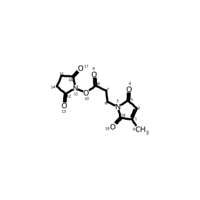 CC1=CC(=O)N(CCC(=O)ON2C(=O)CCC2=O)C1=O